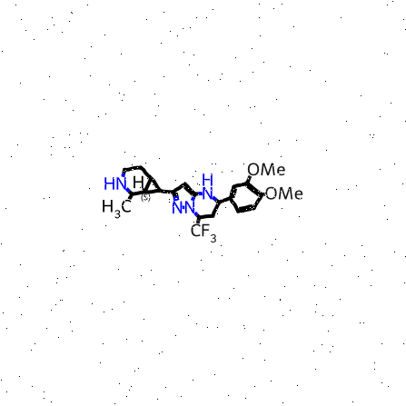 COc1ccc(C2CC(C(F)(F)F)n3nc(C4C5CCNC(C)[C@@H]54)cc3N2)cc1OC